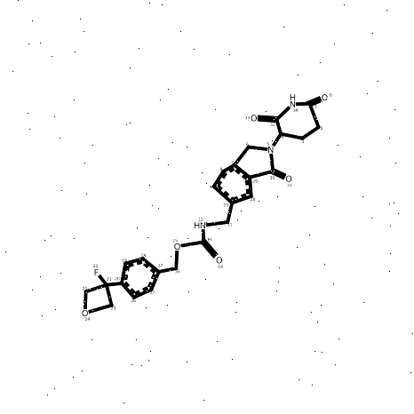 O=C1CCC(N2Cc3ccc(CNC(=O)OCc4ccc(C5(F)COC5)cc4)cc3C2=O)C(=O)N1